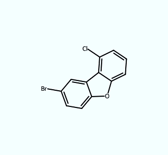 Clc1cccc2oc3ccc(Br)cc3c12